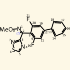 CO/N=C(\c1ncsn1)c1c(F)cc(-c2ccccc2)cc1F